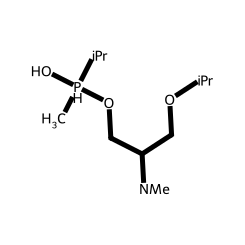 CNC(COC(C)C)CO[PH](C)(O)C(C)C